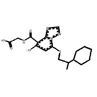 CC(CSc1cc(O)c(C(=O)NCC(=O)O)c2ncnn12)C1CCCCC1